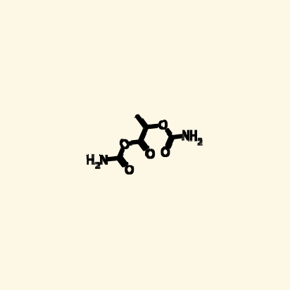 CC(OC(N)=O)C(=O)OC(N)=O